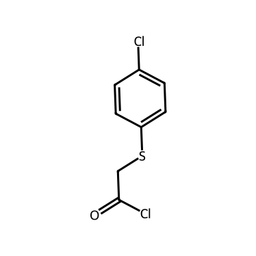 O=C(Cl)CSc1ccc(Cl)cc1